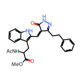 COC(=O)C(Cc1c(C=C2C(=O)NN=C2CCc2ccccc2)[nH]c2ccccc12)NC(C)=O